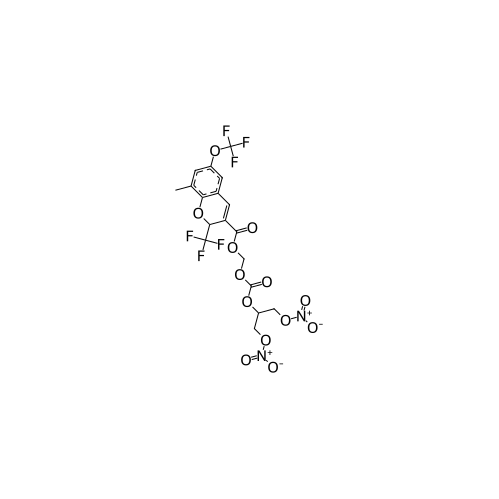 Cc1cc(OC(F)(F)F)cc2c1OC(C(F)(F)F)C(C(=O)OCOC(=O)OC(CO[N+](=O)[O-])CO[N+](=O)[O-])=C2